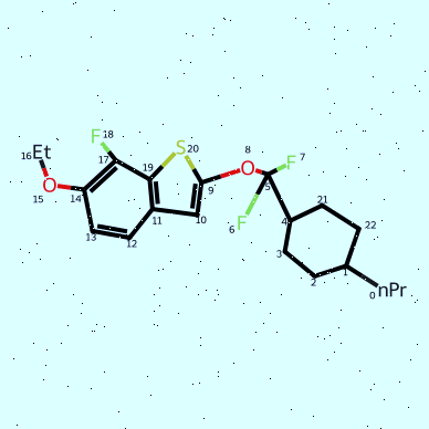 CCCC1CCC(C(F)(F)Oc2cc3ccc(OCC)c(F)c3s2)CC1